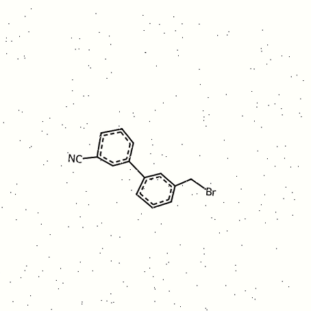 N#Cc1cccc(-c2cccc(CBr)c2)c1